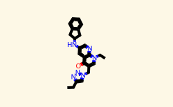 CCc1cn(Cc2cn(CC)c3ncc(NC4Cc5ccccc5C4)cc3c2=O)nn1